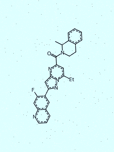 CCc1cc(C(=O)N2CCc3ccccc3C2C)nc2cc(-c3cc4cccnc4cc3F)nn12